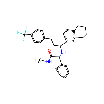 CNC(=O)[C@H](N[C@@H](CCc1ccc(C(F)(F)F)cc1)c1ccc2c(c1)CCCC2)c1ccccc1